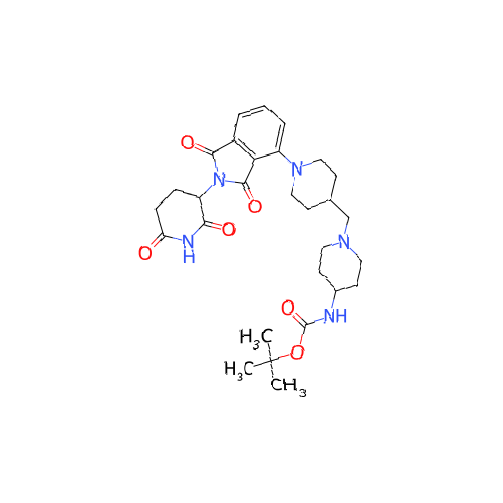 CC(C)(C)OC(=O)NC1CCN(CC2CCN(c3cccc4c3C(=O)N(C3CCC(=O)NC3=O)C4=O)CC2)CC1